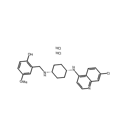 COc1ccc(O)c(CN[C@H]2CC[C@@H](Nc3ccnc4cc(Cl)ccc34)CC2)c1.Cl.Cl